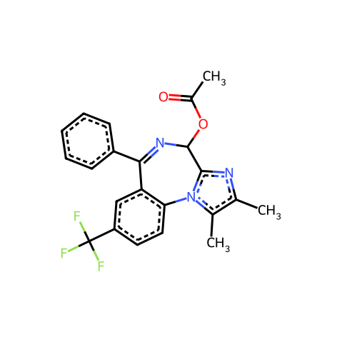 CC(=O)OC1N=C(c2ccccc2)c2cc(C(F)(F)F)ccc2-n2c1nc(C)c2C